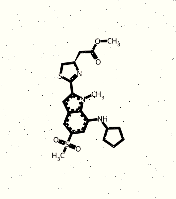 COC(=O)C[C@@H]1CSC(c2cc3cc(S(C)(=O)=O)cc(NC4CCCC4)c3n2C)=N1